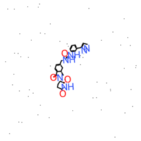 Cn1nccc1-c1cccc(NC(=O)NCC2=CC=C3C(=O)N(C4CCC(=O)NC4=O)CC3C2)c1